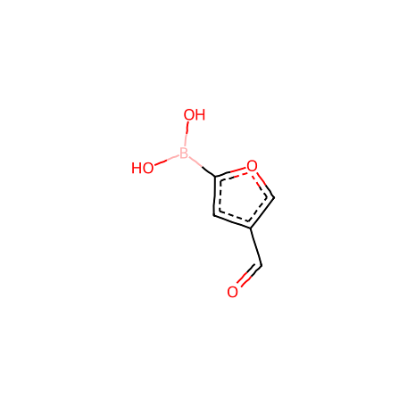 O=Cc1coc(B(O)O)c1